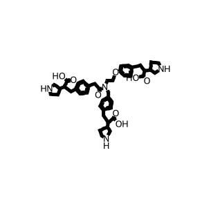 O=C(O)C(Cc1ccc(CC(=O)N(CCOc2ccc(CC(C(=O)O)C3CCNC3)cc2)Cc2ccc(CC(C(=O)O)C3CCNC3)cc2)cc1)C1CCNC1